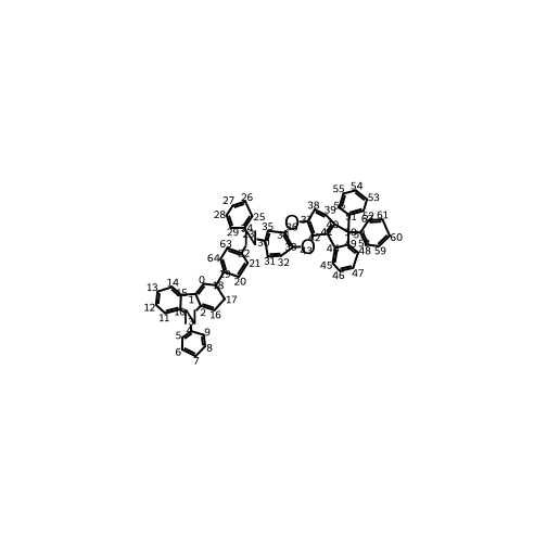 C1=c2c(n(-c3ccccc3)c3ccccc23)=CCC1c1ccc(N(c2ccccc2)c2ccc3c(c2)Oc2ccc4c(c2O3)-c2ccccc2C4(c2ccccc2)c2ccccc2)cc1